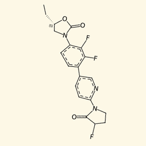 CC[C@H]1CN(c2ccc(-c3ccc(N4CCC(F)C4=O)nc3)c(F)c2F)C(=O)O1